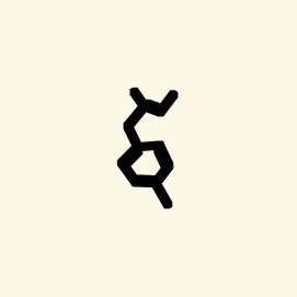 CC=C(C)Cc1ccc(C)cc1